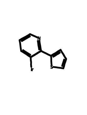 [Ir][c]1cccnc1-c1cccs1